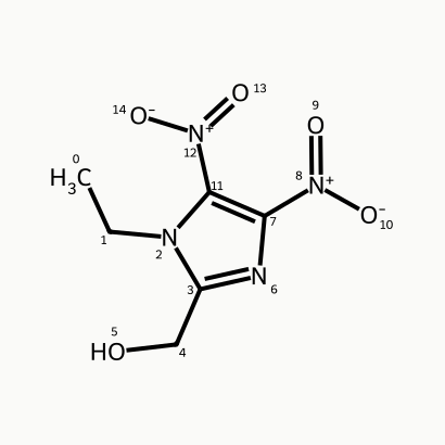 CCn1c(CO)nc([N+](=O)[O-])c1[N+](=O)[O-]